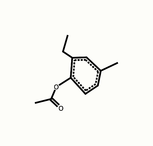 CCc1cc(C)ccc1OC(C)=O